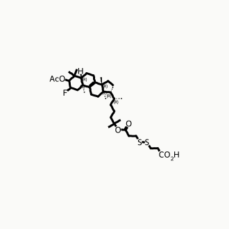 CC(=O)OC1C(F)C[C@]2(C)C3=C(CC[C@H]2C1(C)C)[C@]1(C)CC[C@H]([C@H](C)CCCC(C)(C)OC(=O)CCSSCCC(=O)O)[C@@]1(C)CC3